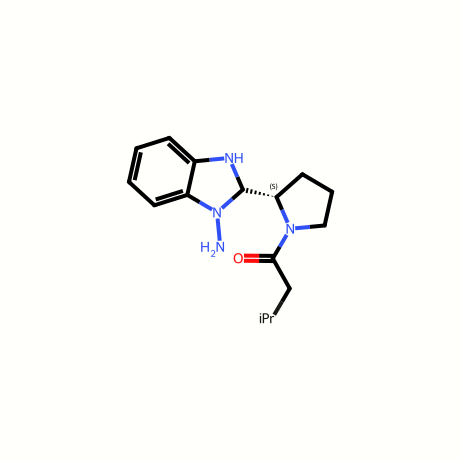 CC(C)CC(=O)N1CCC[C@H]1C1Nc2ccccc2N1N